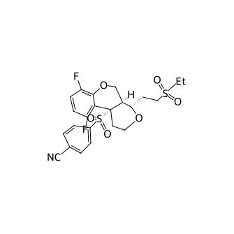 CCS(=O)(=O)CC[C@@H]1OCC[C@@]2(S(=O)(=O)c3ccc(C#N)cc3)c3c(F)ccc(F)c3OC[C@@H]12